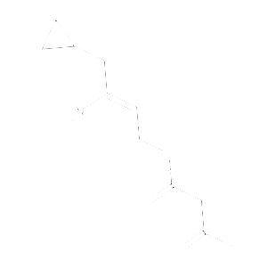 CC(=O)CC(=O)OCC=C(N)CC1CC1